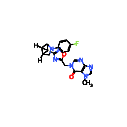 Cn1cnc2ncn(Cc3nc([C@@]45C6[C@H]4[C@H]5CN6c4ccc(F)cc4)no3)c(=O)c21